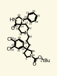 CC(C)(C)OC(=O)N1CCC(CCCN2CCC3(CC2)C(=O)NCN3c2ccccc2)(c2ccc(Cl)c(Cl)c2)C1